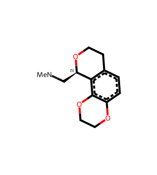 CNC[C@H]1OCCc2ccc3c(c21)OCCO3